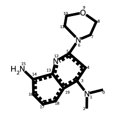 CN(C)c1cc(N2CCOCC2)nc2c(N)cccc12